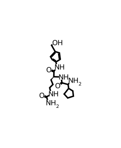 NC(=O)NCCC[C@H](NC(=O)C(N)C1CCCC1)C(=O)Nc1ccc(CO)cc1